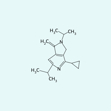 C=C1c2cc(C(C)C)nc(C3CC3)c2CN1C(C)C